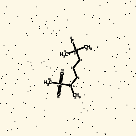 CN(CCC[Si](C)(C)F)S(C)(=O)=O